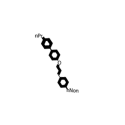 CCCCCCCCC[C@H]1CC[C@H](CCCO[C@H]2CC[C@H](c3ccc(CCC)cc3)CC2)CC1